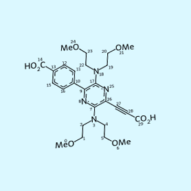 COCCN(CCOC)c1nc(-c2ccc(C(=O)O)cc2)c(N(CCOC)CCOC)nc1C#CC(=O)O